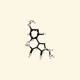 COc1cc(F)c(C2CN(OC)C(=O)C2C(=O)O)c(F)c1